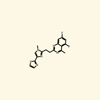 Cc1nc(CCc2nc(-c3nccs3)cn2C)nc2cc(F)cc(F)c12